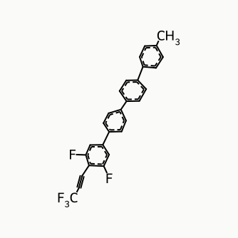 Cc1ccc(-c2ccc(-c3ccc(-c4cc(F)c(C#CC(F)(F)F)c(F)c4)cc3)cc2)cc1